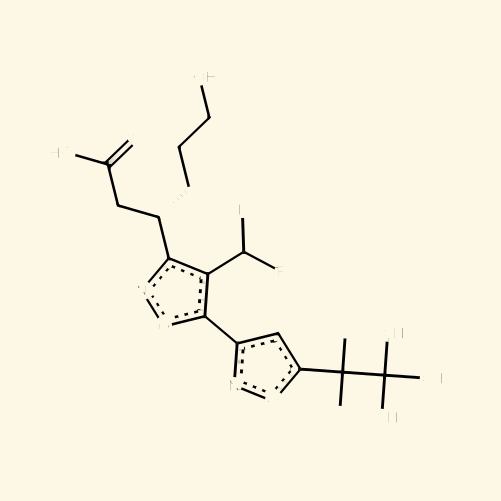 CC(C)(C)C(F)(F)c1cc(-c2onc([C@@H](CCCO)CC(=O)O)c2C(F)F)no1